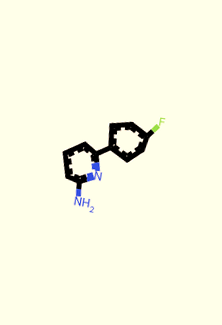 Nc1cccc(-c2ccc(F)cc2)n1